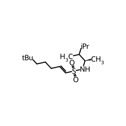 CC(C)C(C)[C@@H](C)NS(=O)(=O)/C=C/CCCC(C)(C)C